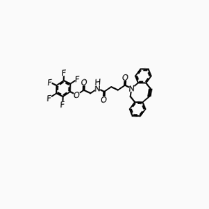 O=C(CCC(=O)N1Cc2ccccc2C#Cc2ccccc21)NCC(=O)Oc1c(F)c(F)c(F)c(F)c1F